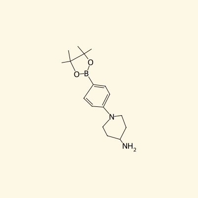 CC1(C)OB(c2ccc(N3CCC(N)CC3)cc2)OC1(C)C